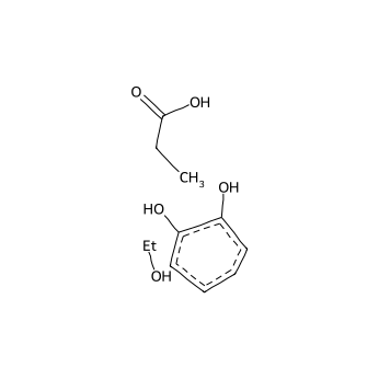 CCC(=O)O.CCO.Oc1ccccc1O